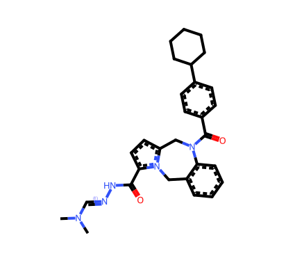 CN(C)/C=N/NC(=O)c1ccc2n1Cc1ccccc1N(C(=O)c1ccc(C3CCCCC3)cc1)C2